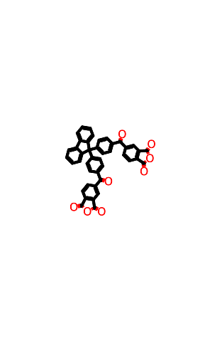 O=C(c1ccc(C2(c3ccc(C(=O)c4ccc5c(c4)C(=O)OC5=O)cc3)c3ccccc3-c3ccccc32)cc1)c1ccc2c(c1)C(=O)OC2=O